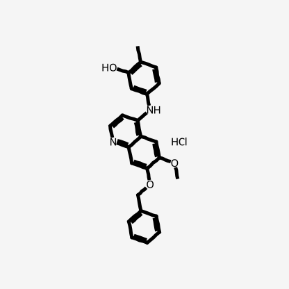 COc1cc2c(Nc3ccc(C)c(O)c3)ccnc2cc1OCc1ccccc1.Cl